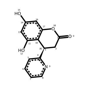 O=C1C[C@@H](c2ccccn2)c2c(O)cc(O)cc2O1